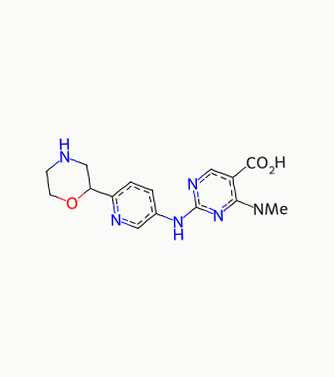 CNc1nc(Nc2ccc(C3CNCCO3)nc2)ncc1C(=O)O